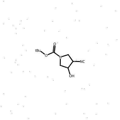 [C-]#[N+]C1CN(C(=O)OC(C)(C)C)CC1O